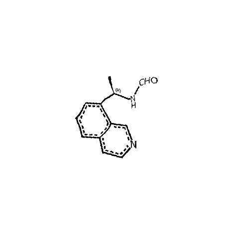 C[C@@H](NC=O)c1cccc2ccncc12